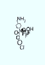 NC[C@H]1CC[C@H](NC(=O)COc2ccc(Cl)cc2)CC1.O=C(O)C(F)(F)F